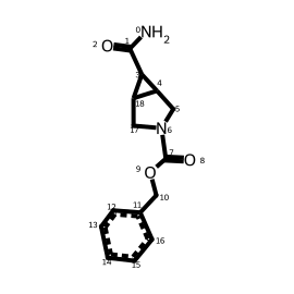 NC(=O)C1C2CN(C(=O)OCc3ccccc3)CC21